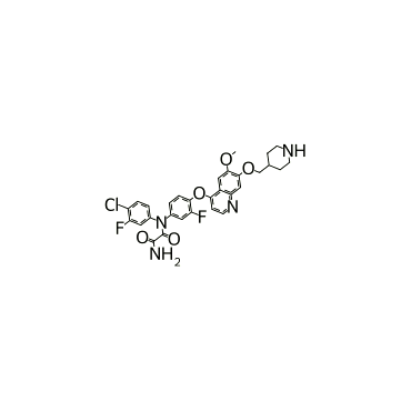 COc1cc2c(Oc3ccc(N(C(=O)C(N)=O)c4ccc(Cl)c(F)c4)cc3F)ccnc2cc1OCC1CCNCC1